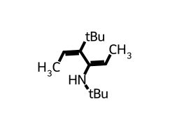 C/C=C(\C(=C/C)NC(C)(C)C)C(C)(C)C